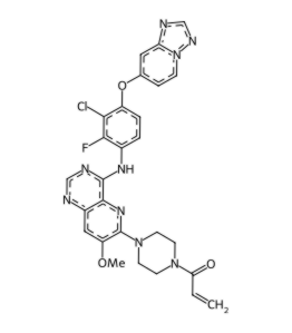 C=CC(=O)N1CCN(c2nc3c(Nc4ccc(Oc5ccn6ncnc6c5)c(Cl)c4F)ncnc3cc2OC)CC1